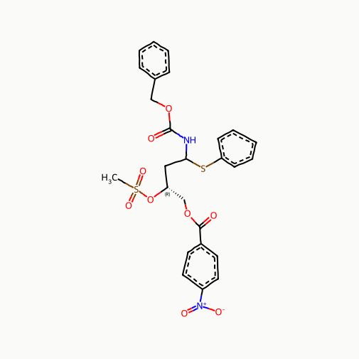 CS(=O)(=O)O[C@@H](COC(=O)c1ccc([N+](=O)[O-])cc1)CC(NC(=O)OCc1ccccc1)Sc1ccccc1